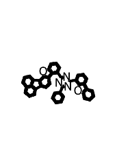 c1ccc(-c2nc(-c3cccc4c3oc3ccccc34)nc(-c3cccc4oc5c6c(ccc5c34)-c3cccc4cccc-6c34)n2)cc1